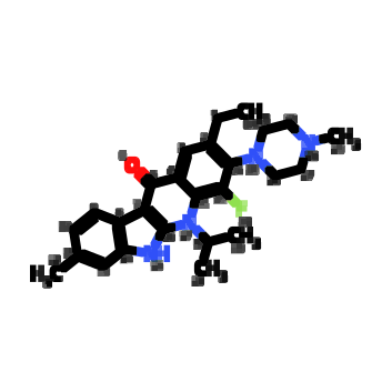 CCc1cc2c(=O)c3c4ccc(C)cc4[nH]c3n(C(C)C)c2c(F)c1N1CCN(C)CC1